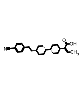 CC=C(C(=O)O)[C@H]1CC[C@H]([C@H]2CC[C@H](CCc3ccc(C#N)cc3)CC2)CC1